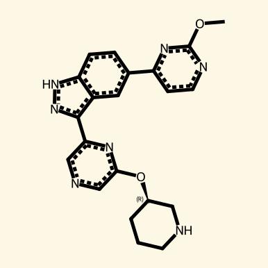 COc1nccc(-c2ccc3[nH]nc(-c4cncc(O[C@@H]5CCCNC5)n4)c3c2)n1